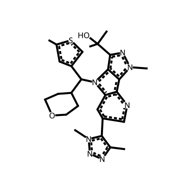 Cc1cc(C(C2CCOCC2)n2c3cc(-c4c(C)nnn4C)cnc3c3c2c(C(C)(C)O)nn3C)cs1